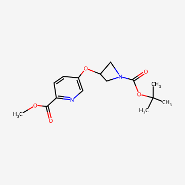 COC(=O)c1ccc(OC2CN(C(=O)OC(C)(C)C)C2)cn1